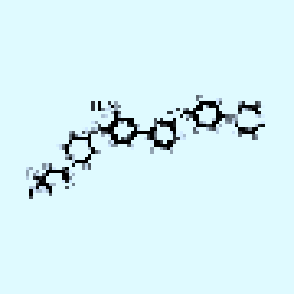 Nc1cc(-c2ccnc(Nc3ccc(N4CCOCC4)cc3)n2)ccc1OC1CCN(C(=O)CC(F)(F)F)CC1